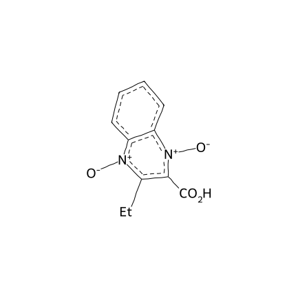 CCc1c(C(=O)O)[n+]([O-])c2ccccc2[n+]1[O-]